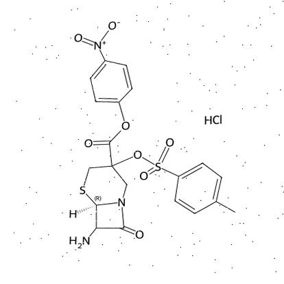 Cc1ccc(S(=O)(=O)OC2(C(=O)Oc3ccc([N+](=O)[O-])cc3)CS[C@@H]3C(N)C(=O)N3C2)cc1.Cl